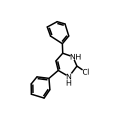 ClC1NC(c2ccccc2)=CC(c2ccccc2)N1